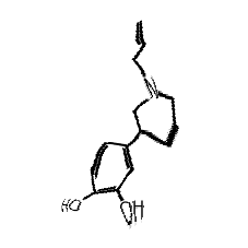 C=CCN1CCCC(c2ccc(O)c(O)c2)C1